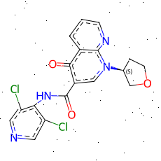 O=C(Nc1c(Cl)cncc1Cl)c1cn([C@H]2CCOC2)c2ncccc2c1=O